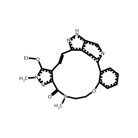 CCOc1c2c(nn1C)C(=O)N(C)CCOc1ccccc1-c1cc3c(n[nH]c3cn1)/C=C/2